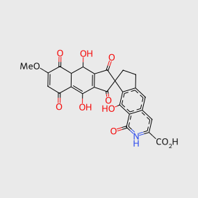 COC1=CC(=O)C2=C(O)C3=C(C(=O)C4(CCc5cc6cc(C(=O)O)[nH]c(=O)c6c(O)c54)C3=O)C(O)C2C1=O